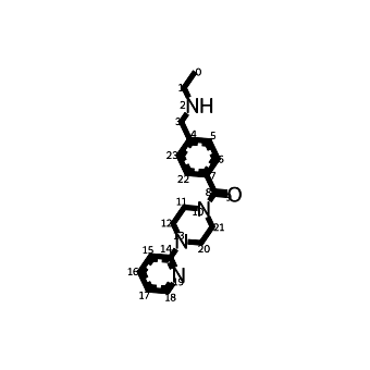 CCNCc1ccc(C(=O)N2CCN(c3ccccn3)CC2)cc1